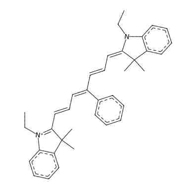 CCN1/C(=C/C=C/C(=C/C=C/C2=[N+](CC)c3ccccc3C2(C)C)c2ccccc2)C(C)(C)c2ccccc21